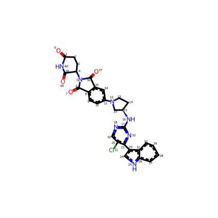 O=C1CCC(N2C(=O)c3ccc(N4CC[C@@H](Nc5ncc(Cl)c(-c6c[nH]c7ccccc67)n5)C4)cc3C2=O)C(=O)N1